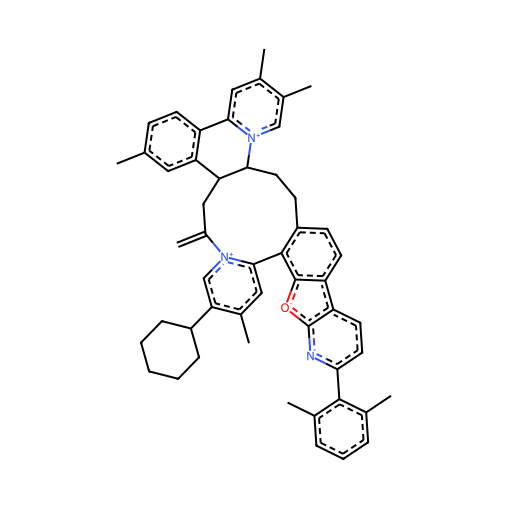 C=C1CC2c3cc(C)ccc3-c3cc(C)c(C)c[n+]3C2CCc2ccc3c(oc4nc(-c5c(C)cccc5C)ccc43)c2-c2cc(C)c(C3CCCCC3)c[n+]21